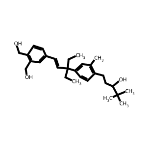 CCC(C=Cc1ccc(CO)c(CO)c1)(CC)c1ccc(CCC(O)C(C)(C)C)c(C)c1